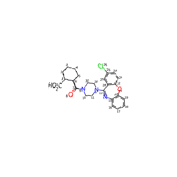 O=C(O)C1CCCCC1C(=O)N1CCN(C2=Nc3ccccc3Oc3ccc(Cl)cc32)CC1